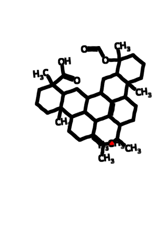 CC(C)=C1CCC2C3C1C1=C4C(CC5C(C)(OC=O)CCCC5(C)C4CCC1C(C)C)C3CC1C(C)(C(=O)O)CCCC21C